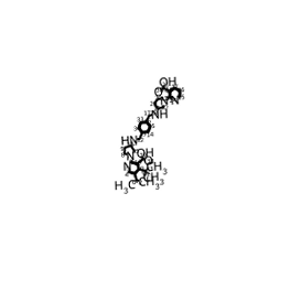 CC(C)c1cnc(N2CC[C@@H](NCc3ccc(CN[C@@H]4CCN(c5ncccc5C(=O)O)C4)cc3)C2)c(C(=O)O)c1C(C)C